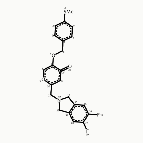 CSc1ccc(COc2coc(CN3Cc4cc(F)c(F)cc4C3)cc2=O)cc1